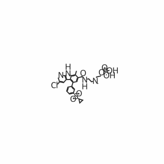 Cc1c(C(=O)NCCN(C)CCOP(=O)(O)O)cc(-c2cccc(S(=O)(=O)C3CC3)c2)c2c1[nH]c1ncc(Cl)cc12